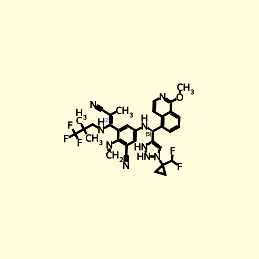 C=Nc1c(C#N)cc(N[C@H](C2=CN(C3(C(F)F)CC3)NN2)c2cccc3c(OC)nccc23)cc1/C(NCC(C)(C)C(F)(F)F)=C(\C)C#N